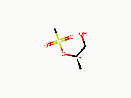 C[C@H](CO)OS(C)(=O)=O